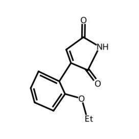 CCOc1ccccc1C1=CC(=O)NC1=O